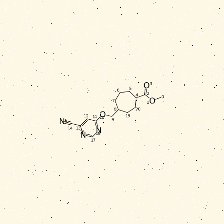 COC(=O)C1CCCC(COc2cc(C#N)ncn2)CC1